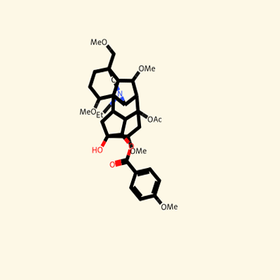 CCN1CC2(COC)CCC(OC)C34C5CC6(O)C(OC)CC(OC(C)=O)(C5C6OC(=O)c5ccc(OC)cc5)C(C(OC)C23)C14